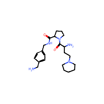 NCc1ccc(CNC(=O)C2CCCN2C(=O)C(N)CCN2CCCCC2)cc1